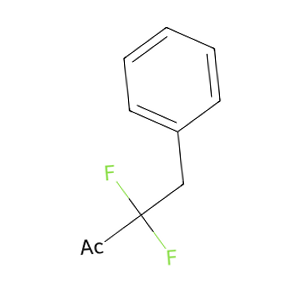 CC(=O)C(F)(F)Cc1ccccc1